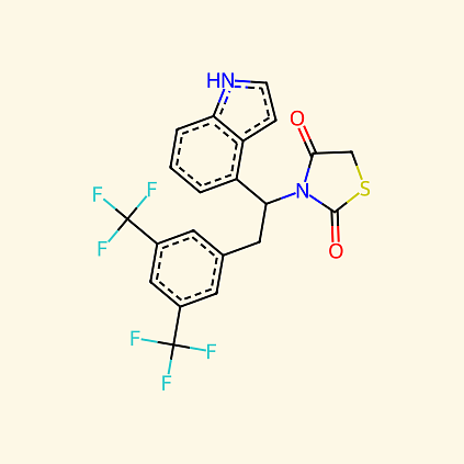 O=C1CSC(=O)N1C(Cc1cc(C(F)(F)F)cc(C(F)(F)F)c1)c1cccc2[nH]ccc12